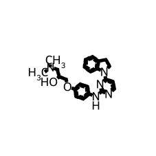 CN(C)CC(O)COc1ccc(Nc2nccc(N3CCc4ccccc43)n2)cc1